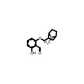 CN1C2CCC1C(COc1cccc(O)c1C=O)C2